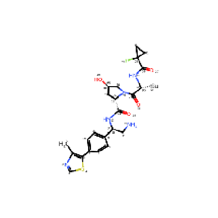 Cc1ncsc1-c1ccc([C@H](CN)NC(=O)[C@@H]2C[C@@H](O)CN2C(=O)[C@H](NC(=O)C2(F)CC2)C(C)(C)C)cc1